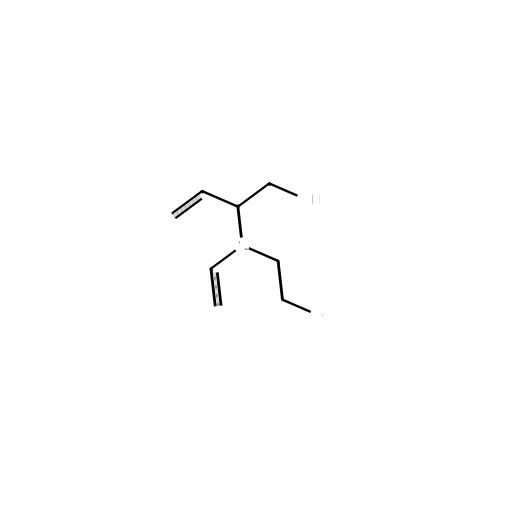 C=CC(CO)N(C=C)CCO